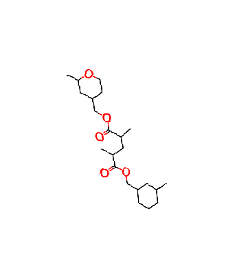 CC1CCCC(COC(=O)C(C)CC(C)C(=O)OCC2CCOC(C)C2)C1